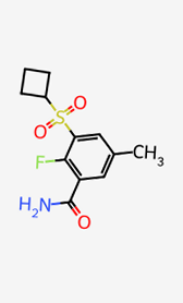 Cc1cc(C(N)=O)c(F)c(S(=O)(=O)C2CCC2)c1